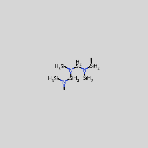 C[SiH2]N([SiH3])[SiH2]N([SiH3])[SiH2]N(C)[SiH3]